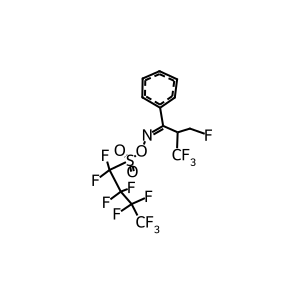 O=S(=O)(O/N=C(/c1ccccc1)C(CF)C(F)(F)F)C(F)(F)C(F)(F)C(F)(F)C(F)(F)F